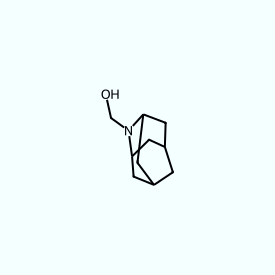 OCN1C2CC3CC(C2)CC1C3